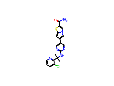 CC(C)(Nc1ncc(-c2cc3sc(C(N)=O)cn3c2)cn1)c1ncccc1Cl